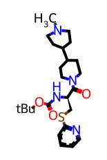 CN1CCC(C2CCN(C(=O)[C@@H](CSc3ccccn3)NC(=O)OC(C)(C)C)CC2)CC1